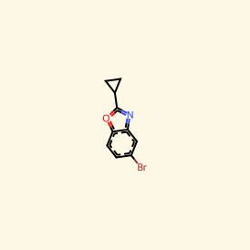 Brc1ccc2oc(C3CC3)nc2c1